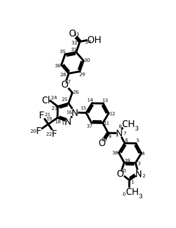 Cc1nc2ccc(N(C)C(=O)c3cccc(-n4nc(C(F)(F)F)c(Cl)c4COc4ccc(C(=O)O)cc4)c3)cc2o1